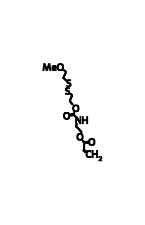 C=CC(=O)OCCNC(=O)OCCSSCCOC